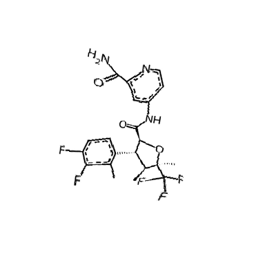 Cc1c([C@@H]2[C@@H](C(=O)Nc3ccnc(C(N)=O)c3)O[C@@](C)(C(F)(F)F)[C@H]2C)ccc(F)c1F